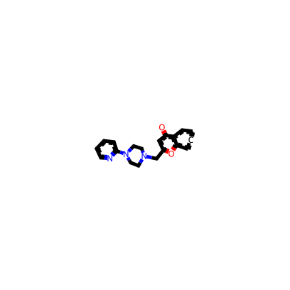 O=c1cc(CN2CCN(c3ccccn3)CC2)oc2ccccc12